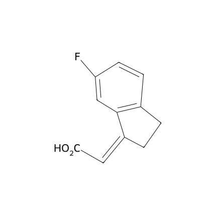 O=C(O)/C=C1/CCc2ccc(F)cc21